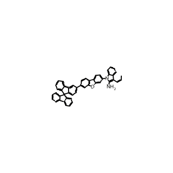 C/C=C\c1c(N)n(-c2ccc3c(c2)oc2cc(-c4ccc5c(c4)-c4ccccc4C54c5ccccc5-c5ccccc54)ccc23)c2ccccc12